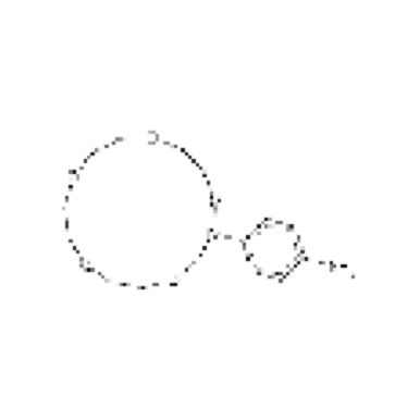 Nc1ccc(N2COCCOCCOCCOCCO2)cc1